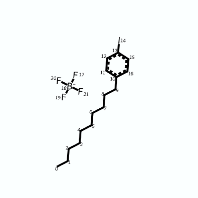 CCCCCCCCCCc1ccc(I)cc1.F[B-](F)(F)F